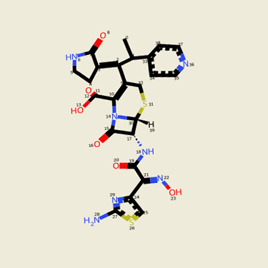 CC(C(=C1CCNC1=O)C1=C(C(=O)O)N2C(=O)[C@@H](NC(=O)C(=NO)c3csc(N)n3)[C@H]2SC1)c1ccncc1